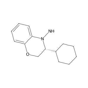 [NH]N1c2ccccc2OC[C@H]1C1CCCCC1